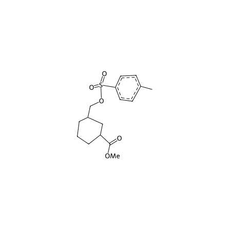 COC(=O)C1CCCC(COS(=O)(=O)c2ccc(C)cc2)C1